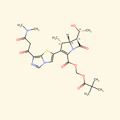 C[C@@H](O)[C@H]1C(=O)N2C(C(=O)OCOC(=O)C(C)(C)C)=C(c3cn4cnc(C(=O)CC(=O)N(C)C)c4s3)[C@H](C)[C@H]12